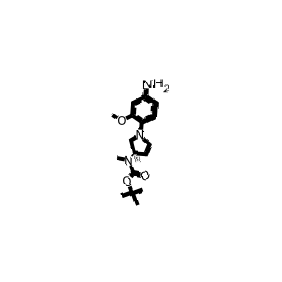 COc1cc(N)ccc1N1CC[C@H](N(C)C(=O)OC(C)(C)C)C1